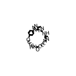 O=C1CCCn2cc(cn2)Nc2ncc3nnn(c3n2)-c2ccc(cc2)OCCCN1